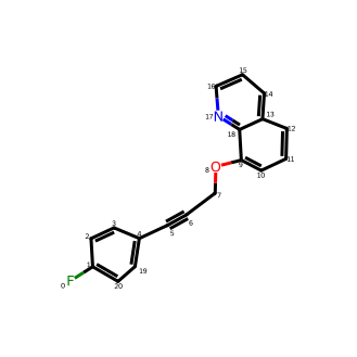 Fc1ccc(C#CCOc2cccc3cccnc23)cc1